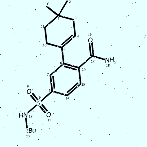 CC1(C)CC=C(c2cc(S(=O)(=O)NC(C)(C)C)ccc2C(N)=O)CC1